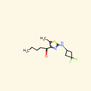 CCCCC(=O)c1nc(NC2CC(F)(F)C2)sc1C